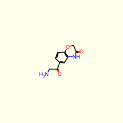 NCC(=O)c1ccc2c(c1)NC(=O)CO2